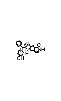 O=C(Nc1cc2cc[nH]c(=O)c2cc1Cl)C(c1ccccc1)N1CCC(O)CC1